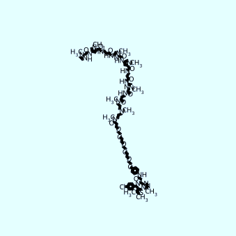 Cc1sc2c(c1C)C(c1ccc(Cl)cc1)=N[C@@H](CC(=O)Nc1ccc(OCCOCCOCCOCCOCCOCCC(=O)N(C)CCCN(C)CCCN(C)C(=O)CCNC(=O)c3nc(NC(=O)CCNC(=O)c4cc(NC(=O)c5nc(NC(=O)CCNC(=O)c6cc(NC(=O)c7nccn7C)cn6C)cn5C)cn4C)cn3C)cc1)c1nnc(C)n1-2